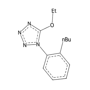 [CH2]CCCc1ccccc1-n1nnnc1OCC